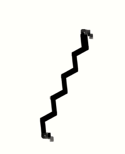 C=CCCCC[CH]CCC